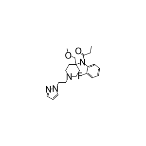 CCC(=O)N(c1ccccc1F)C1(COC)CCN(CCn2cccn2)CC1